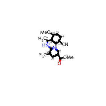 COC(=O)c1cnc(NC(C)c2cc(C#N)ccc2OC)c(C(F)(F)F)c1